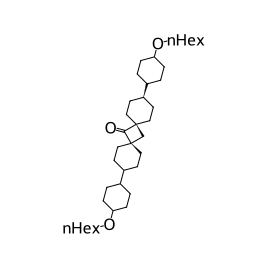 CCCCCCOC1CCC(C2CC[C@]3(CC2)C[C@@]2(CC[C@H](C4CCC(OCCCCCC)CC4)CC2)C3=O)CC1